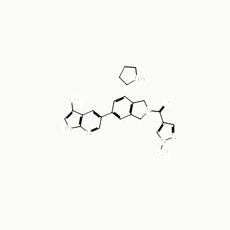 Cc1c[nH]c2ncc(-c3cc4c(c([C@@H]5CCCN5)c3)CN(C(=O)c3cnn(C)c3)C4)cc12